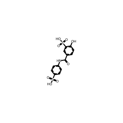 O=C(Nc1c[c]c(S(=O)(=O)O)cc1)c1ccc(O)c(S(=O)(=O)O)c1